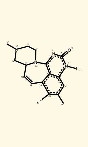 Cc1cc2c3c(nc(=O)n2I)N2CCN(C)CC2C=Cc3c1F